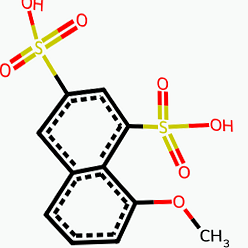 COc1cccc2cc(S(=O)(=O)O)cc(S(=O)(=O)O)c12